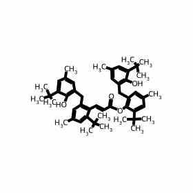 Cc1cc(Cc2cc(C)cc(C(C)(C)C)c2C=CC(=O)Oc2c(Cc3cc(C)cc(C(C)(C)C)c3O)cc(C)cc2C(C)(C)C)c(O)c(C(C)(C)C)c1